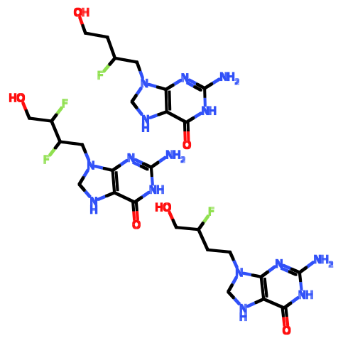 Nc1nc2c(c(=O)[nH]1)NCN2CC(F)C(F)CO.Nc1nc2c(c(=O)[nH]1)NCN2CC(F)CCO.Nc1nc2c(c(=O)[nH]1)NCN2CCC(F)CO